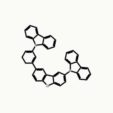 C1=C(c2ccc3oc4ccc(-n5c6ccccc6c6ccccc65)cc4c3c2)CCC=C1n1c2ccccc2c2ccccc21